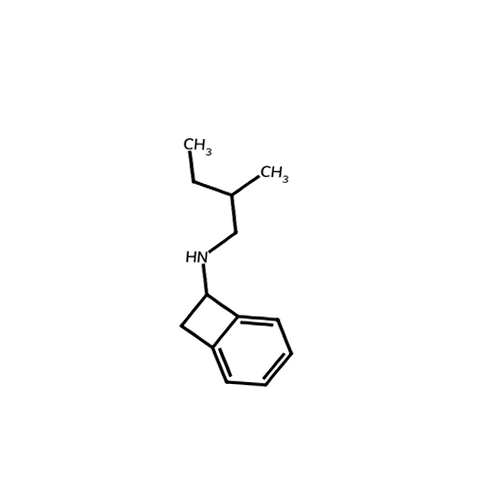 CCC(C)CNC1Cc2ccccc21